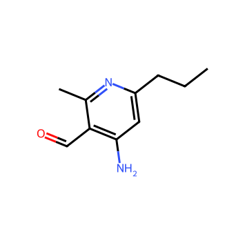 CCCc1cc(N)c(C=O)c(C)n1